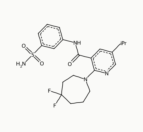 CC(C)c1cnc(N2CCCC(F)(F)CC2)c(C(=O)Nc2cccc(S(N)(=O)=O)c2)c1